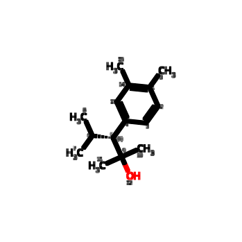 Cc1ccc([C@@H](C(C)C)C(C)(C)O)cc1C